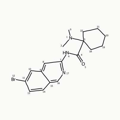 CN(C)C1(C(=O)Nc2cc3cc(Br)ccc3cn2)CCCCC1